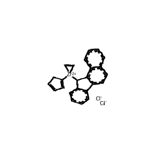 C1=CC[C]([Zr+2]2([CH]3c4ccccc4-c4ccc5ccccc5c43)[CH2][CH2]2)=C1.[Cl-].[Cl-]